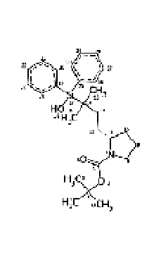 CC(C)(C)OC(=O)N1CCC[C@H]1CCC(C)(C)[Si](O)(c1ccccc1)c1ccccc1